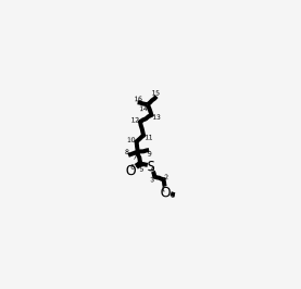 COCCSC(=O)C(C)(C)CCCCC(C)C